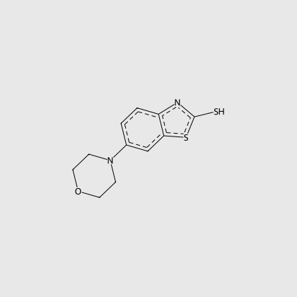 Sc1nc2ccc(N3CCOCC3)cc2s1